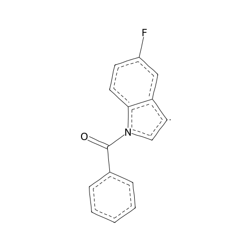 O=C(c1ccccc1)n1c[c]c2cc(F)ccc21